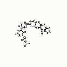 O=C(O)N(Cc1cscn1)CC1CCN(c2cccc(-c3cccc(OCC4CC4)c3)n2)CC1